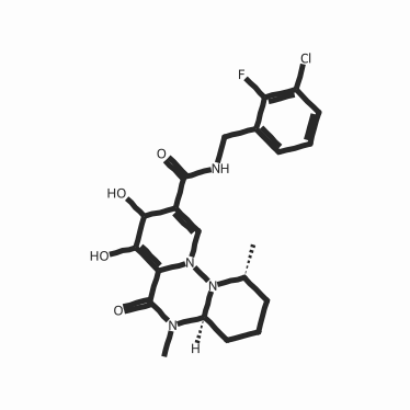 C[C@@H]1CCC[C@H]2N(C)C(=O)C3=C(O)C(O)C(C(=O)NCc4cccc(Cl)c4F)=CN3N12